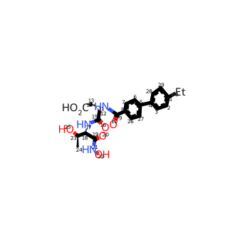 CCc1ccc(-c2ccc(C(=O)N[C@@H](CC(=O)O)C(=O)N[C@H](C(=O)NO)[C@@H](C)O)cc2)cc1